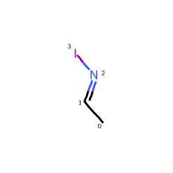 CC=NI